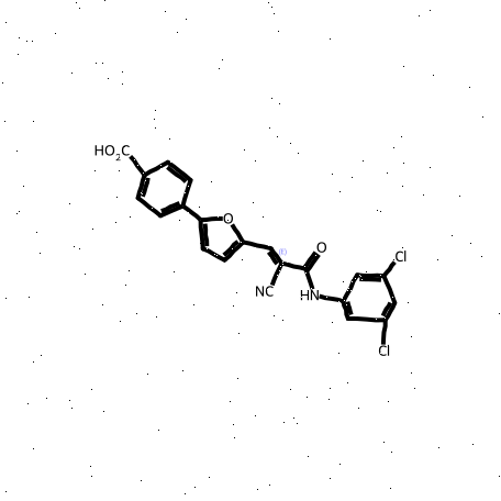 N#C/C(=C\c1ccc(-c2ccc(C(=O)O)cc2)o1)C(=O)Nc1cc(Cl)cc(Cl)c1